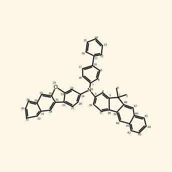 CC1(C)c2cc(N(c3ccc(-c4ccccc4)cc3)c3ccc4c(c3)oc3cc5ccccc5cc34)ccc2-c2cc3ccccc3cc21